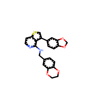 c1cc2scc(-c3ccc4c(c3)OCO4)c2c(NCc2ccc3c(c2)OCCO3)n1